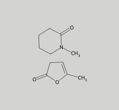 CC1=CCC(=O)O1.CN1CCCCC1=O